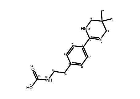 CC1(C)CN=C(c2ccc(CCNC(=O)O)cc2)NC1